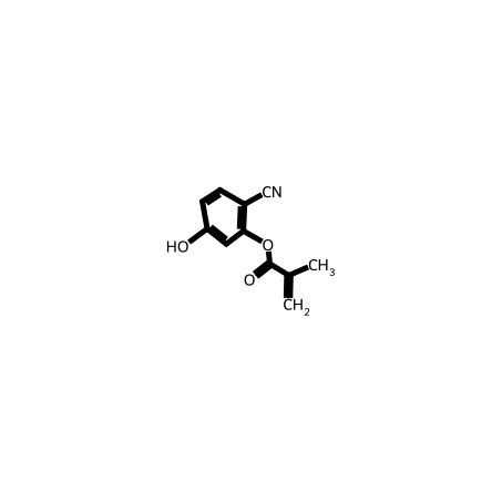 C=C(C)C(=O)Oc1cc(O)ccc1C#N